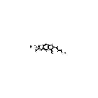 C/C=C/CC1Cc2ccc(OS(C)(=O)=O)cc2C1=O